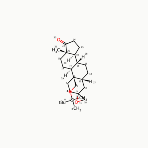 CC(C)(C)[Si](C)(C)OC[C@]12CCC3(CO3)C[C@H]1CC[C@@H]1[C@@H]2CC[C@]2(C)C(=O)CC[C@@H]12